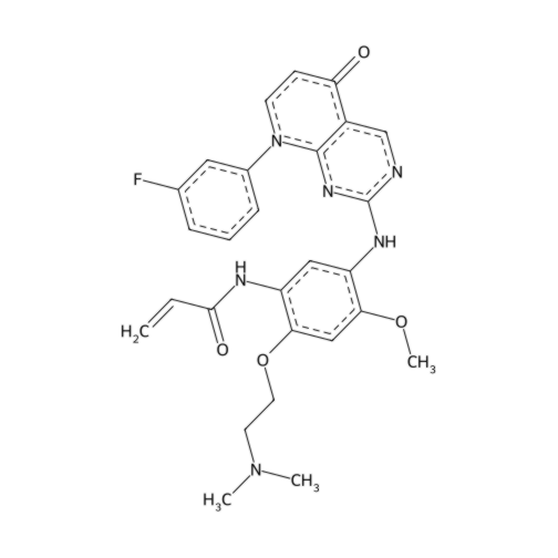 C=CC(=O)Nc1cc(Nc2ncc3c(=O)ccn(-c4cccc(F)c4)c3n2)c(OC)cc1OCCN(C)C